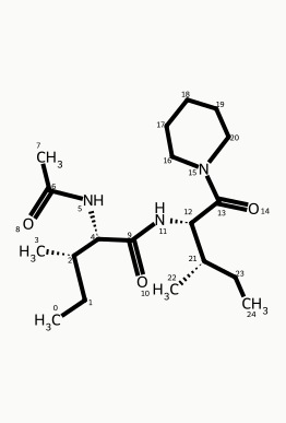 CC[C@H](C)[C@H](NC(C)=O)C(=O)N[C@H](C(=O)N1CCCCC1)[C@@H](C)CC